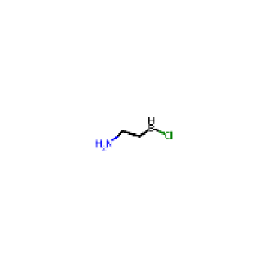 NCCBCl